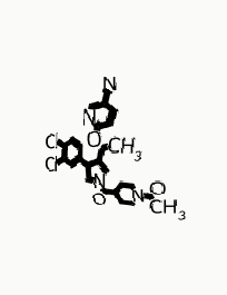 CC(=O)N1CCC(C(=O)N2CC(c3ccc(Cl)c(Cl)c3)C(C(C)Oc3ccc(C#N)cn3)C2)CC1